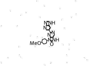 CO[C@H]1CC[C@@H](n2c(=O)[nH]c3cnc(-c4cnc5nc[nH]c5c4)nc32)CC1